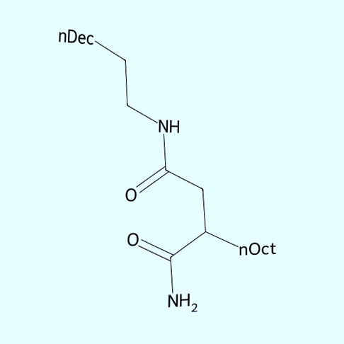 CCCCCCCCCCCCNC(=O)CC(CCCCCCCC)C(N)=O